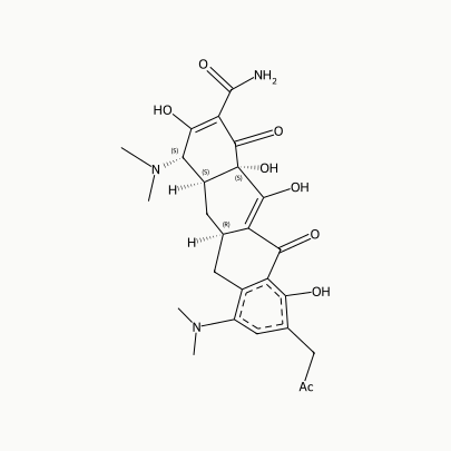 CC(=O)Cc1cc(N(C)C)c2c(c1O)C(=O)C1=C(O)[C@]3(O)C(=O)C(C(N)=O)=C(O)[C@@H](N(C)C)[C@@H]3C[C@@H]1C2